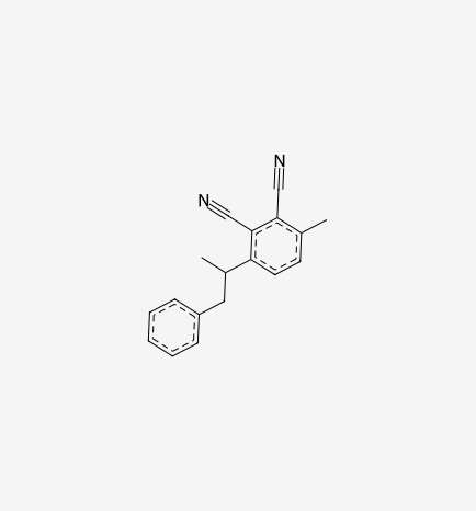 Cc1ccc(C(C)Cc2ccccc2)c(C#N)c1C#N